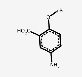 CCCOc1ccc(N)cc1C(=O)O